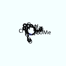 COc1nn(C)cc1C(=O)N[S@@]1(=O)=NC(=O)c2ccc3c(c2)N(C[C@@H]2CC[C@H]2[C@@H](OCCN2CCOCC2)/C=C/C[C@H](C)C1)C[C@@]1(CCCc2cc(Cl)ccc21)CO3